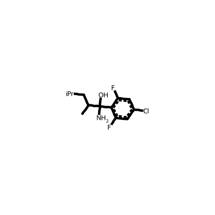 CC(C)CC(C)C(N)(O)c1c(F)cc(Cl)cc1F